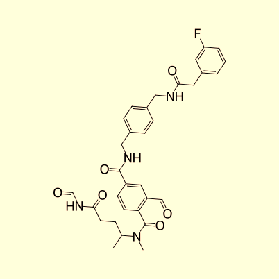 CC(CCC(=O)NC=O)N(C)C(=O)c1ccc(C(=O)NCc2ccc(CNC(=O)Cc3cccc(F)c3)cc2)cc1C=O